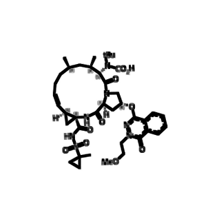 COCCn1nc(O[C@@H]2C[C@H]3C(=O)N[C@]4(C(=O)NS(=O)(=O)C5(C)CC5)C[C@H]4C=CCC[C@@H](C)C[C@@H](C)[C@H](N(C(=O)O)C(C)(C)C)C(=O)N3C2)c2ccccc2c1=O